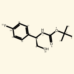 CC(C)(C)OC(=O)N[C@@H](CO)c1ccc(F)cc1